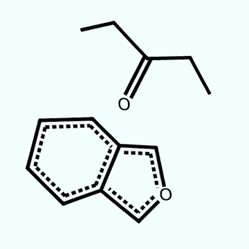 CCC(=O)CC.c1ccc2cocc2c1